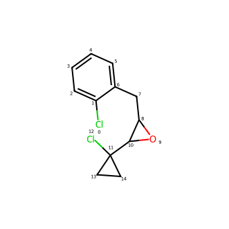 Clc1ccccc1CC1OC1C1(Cl)CC1